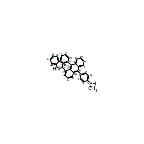 CPc1ccc(-c2c3ccccc3c(-c3ccccc3)c3c(-c4cc5ccccc5[nH]4)cccc23)cc1